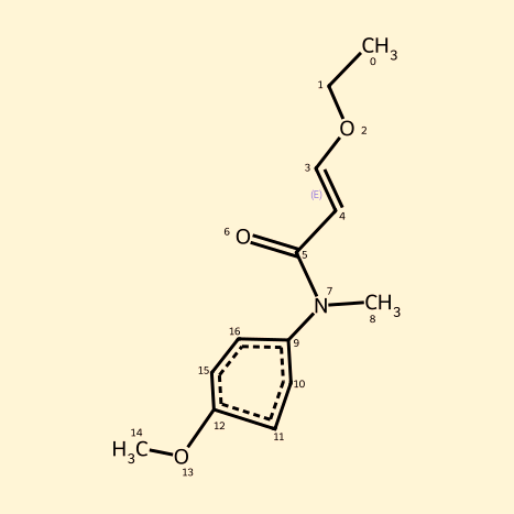 CCO/C=C/C(=O)N(C)c1ccc(OC)cc1